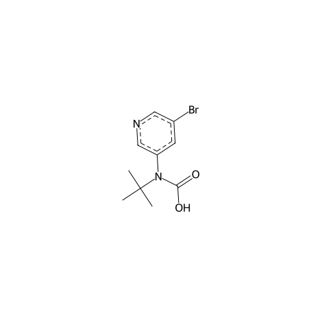 CC(C)(C)N(C(=O)O)c1cncc(Br)c1